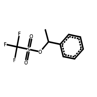 CC(OS(=O)(=O)C(F)(F)F)c1ccccc1